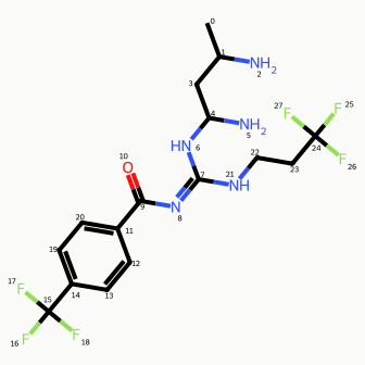 CC(N)CC(N)N/C(=N\C(=O)c1ccc(C(F)(F)F)cc1)NCCC(F)(F)F